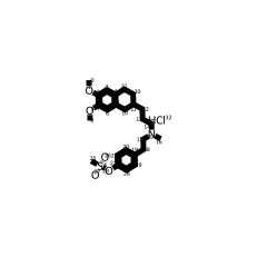 COc1cc2c(cc1OC)CC(CCCN(C)CCc1ccc(OS(C)(=O)=O)cc1)CC2.Cl